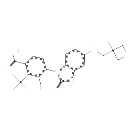 CC1(COc2ccc3c(c2)[nH]c(=O)n3-c2ccc(C(=O)O)c(C(C)(C)C)c2F)COC1